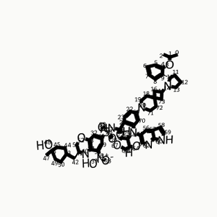 CC(C)Oc1ccccc1[C@@H]1CCCN1C1CC2(CCN(c3ccc(C(=O)NS(=O)(=O)c4cc5c(c([N+](=O)[O-])c4)N[C@@H](CC4CCC(C)(O)CC4)CO5)c(N4c5cc6cc[nH]c6nc5O[C@@H]5COC[C@H]54)c3)CC2)C1